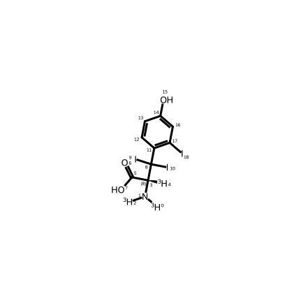 [3H]N([3H])[C@]([3H])(C(=O)O)C(I)(I)c1ccc(O)cc1I